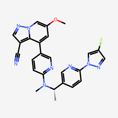 COc1cc(-c2ccc(N(C)[C@@H](C)c3ccc(-n4cc(F)cn4)nc3)nc2)c2c(C#N)cnn2c1